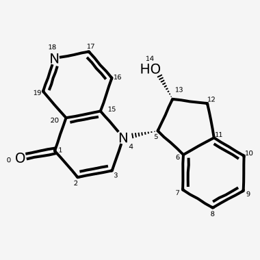 O=c1ccn([C@H]2c3ccccc3C[C@H]2O)c2ccncc12